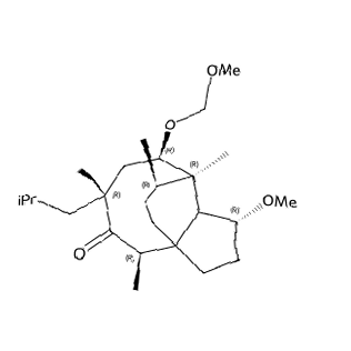 COCO[C@@H]1C[C@@](C)(CC(C)C)C(=O)[C@H](C)C23CC[C@@H](C)[C@]1(C)C2[C@H](OC)CC3